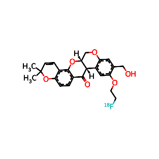 CC1(C)C=Cc2c(ccc3c2O[C@@H]2COc4cc(CO)c(OCC[18F])cc4[C@@H]2C3=O)O1